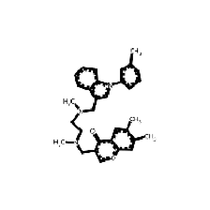 Cc1cccc(-n2cc(CN(C)CCN(C)Cc3coc4cc(C)c(C)cc4c3=O)c3ccccc32)c1